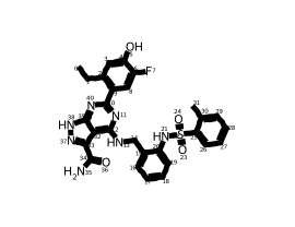 CCc1cc(O)c(F)cc1-c1nc(NCc2ccccc2NS(=O)(=O)c2ccccc2C)c2c(C(N)=O)n[nH]c2n1